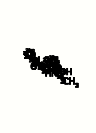 CSCC[C@H](NC(=O)c1ccc(CCC(=O)OCC2CCCCC2)cc1-c1ccccc1C)C(=O)O